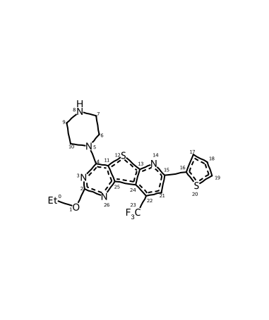 CCOc1nc(N2CCNCC2)c2sc3nc(-c4cccs4)cc(C(F)(F)F)c3c2n1